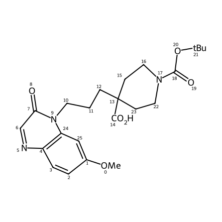 COc1ccc2ncc(=O)n(CCCC3(C(=O)O)CCN(C(=O)OC(C)(C)C)CC3)c2c1